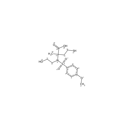 COc1ccc(S(=O)(=O)N(CCO)C(C)(CCS)C(=O)O)cc1